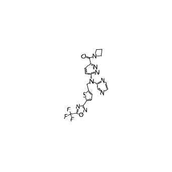 O=C(c1ccc(N(Cc2ccc(-c3noc(C(F)(F)F)n3)s2)c2cnccn2)nn1)N1CCC1